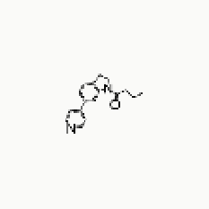 CCCC(=O)N1CCc2ccc(-c3ccncc3)cc21